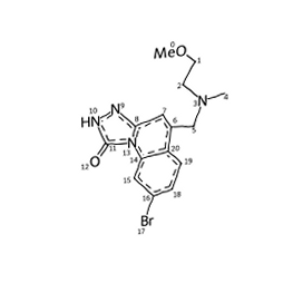 COCCN(C)Cc1cc2n[nH]c(=O)n2c2cc(Br)ccc12